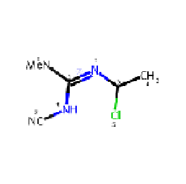 CN/C(=N/C(C)Cl)NC#N